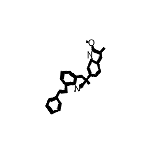 COc1nc2cc(C(C)(C#N)Cc3cccc(C=Cc4ccccc4)c3)ccc2cc1C